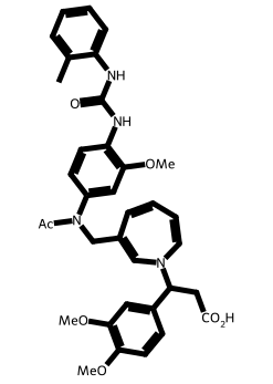 COc1cc(N(CC2=CN(C(CC(=O)O)c3ccc(OC)c(OC)c3)C=CC=C2)C(C)=O)ccc1NC(=O)Nc1ccccc1C